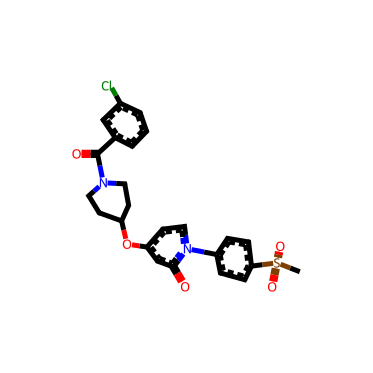 CS(=O)(=O)c1ccc(-n2ccc(OC3CCN(C(=O)c4cccc(Cl)c4)CC3)cc2=O)cc1